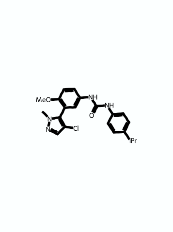 COc1ccc(NC(=O)Nc2ccc(C(C)C)cc2)cc1-c1c(Cl)cnn1C